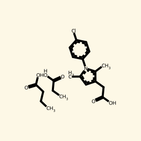 CCC(=O)O.CCCC(=O)O.Cc1cc(CC(=O)O)c(C)n1-c1ccc(Cl)cc1